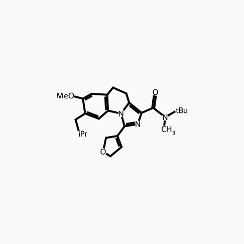 COc1cc2c(cc1CC(C)C)-n1c(C3=CCOC3)nc(C(=O)N(C)C(C)(C)C)c1CC2